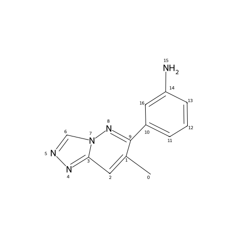 Cc1cc2nncn2nc1-c1cccc(N)c1